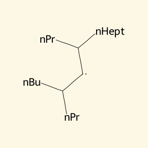 CCCCCCCC([CH]C(CCC)CCCC)CCC